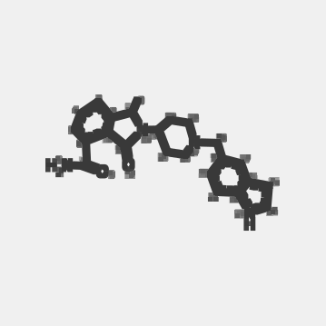 CC1c2cccc(C(N)=O)c2C(=O)N1C1CCN(Cc2ccc3[nH]ccc3c2)CC1